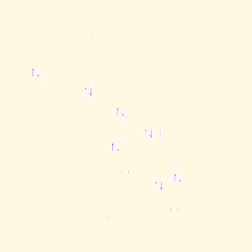 COCC(C)n1c(C#N)cc2cnc(Nc3cn(CS(C)(=O)=O)nc3OC3COC3)nc21